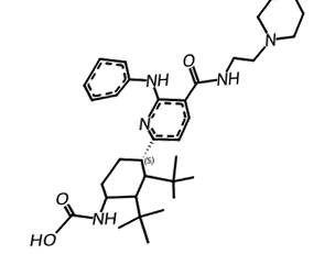 CC(C)(C)C1C(NC(=O)O)CC[C@H](c2ccc(C(=O)NCCN3CCCCC3)c(Nc3ccccc3)n2)C1C(C)(C)C